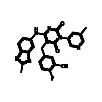 Cc1cncc(-n2c(=O)nc(Nc3ccc4nc(C)sc4c3)n(Cc3ccc(F)c(C#N)c3)c2=O)c1